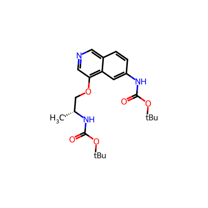 C[C@H](COc1cncc2ccc(NC(=O)OC(C)(C)C)cc12)NC(=O)OC(C)(C)C